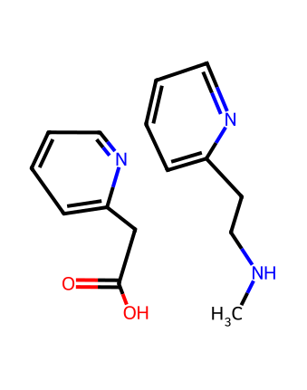 CNCCc1ccccn1.O=C(O)Cc1ccccn1